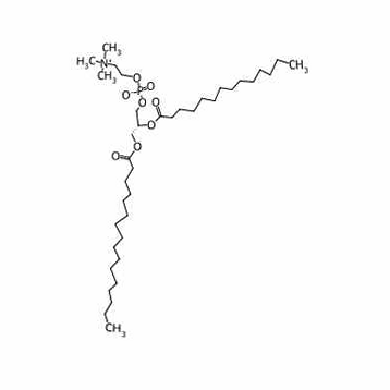 CCCCCCCCCCCCCCCC(=O)OC[C@H](COP(=O)([O-])OCC[N+](C)(C)C)OC(=O)CCCCCCCCCCCCC